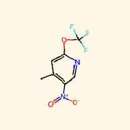 Cc1cc(OC(F)(F)F)ncc1[N+](=O)[O-]